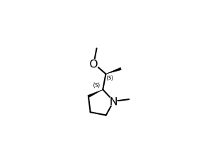 CO[C@@H](C)[C@@H]1CCCN1C